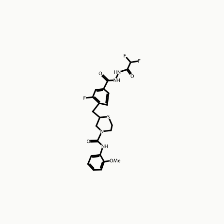 COc1ccccc1NC(=O)N1CCSC(Cc2ccc(C(=O)NNC(=O)C(F)F)cc2F)C1